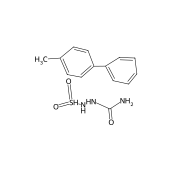 Cc1ccc(-c2ccccc2)cc1.NC(=O)NN[SH](=O)=O